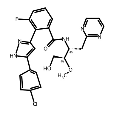 CO[C@@H](CO)[C@@H](Cc1ncccn1)NC(=O)c1cccc(F)c1-c1cc(-c2ccc(Cl)cc2)[nH]n1